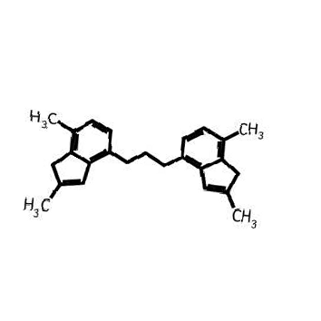 CC1=Cc2c(CCCc3ccc(C)c4c3C=C(C)C4)ccc(C)c2C1